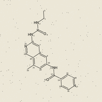 CCNC(=O)Nc1cc2cc(NC(=O)c3ccncc3)cc(C)c2cn1